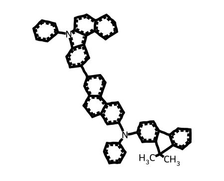 CC1(C)c2ccccc2-c2ccc(N(c3ccccc3)c3ccc4c(ccc5cc(-c6ccc7c(c6)c6c8ccccc8ccc6n7-c6ccccc6)ccc54)c3)cc21